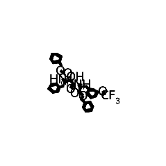 O=C(N[C@H](Cc1ccccc1)[C@H](O)C(=O)N[C@@H](Cc1cccc(OC(F)(F)F)c1)C(=O)OCc1ccccc1)OCc1ccccc1